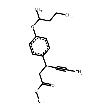 CC#C[C@@H](CC(=O)OC)c1ccc(OC(C)CCC)cc1